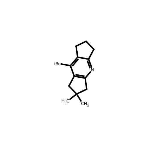 CC1(C)Cc2nc3c(c(C(C)(C)C)c2C1)CCC3